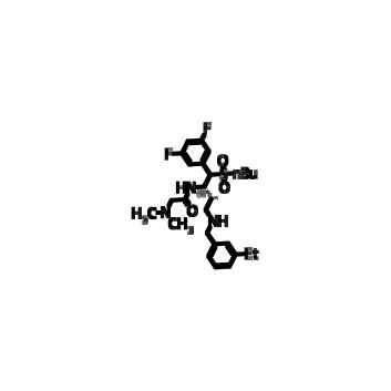 CCCCS(=O)(=O)C(c1cc(F)cc(F)c1)[C@H]([CH]CNCc1cccc(CC)c1)NC(=O)CN(C)C